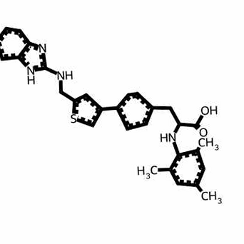 Cc1cc(C)c(NC(Cc2ccc(-c3csc(CNc4nc5ccccc5[nH]4)c3)cc2)C(=O)O)c(C)c1